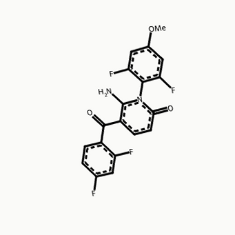 COc1cc(F)c(-n2c(N)c(C(=O)c3ccc(F)cc3F)ccc2=O)c(F)c1